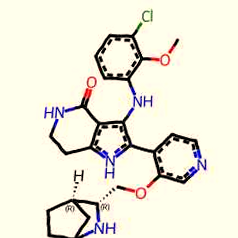 COc1c(Cl)cccc1Nc1c(-c2ccncc2OC[C@@H]2NC3CC[C@@H]2C3)[nH]c2c1C(=O)NCC2